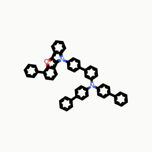 c1ccc(-c2ccc(N(c3ccc(-c4ccccc4)cc3)c3cccc(-c4ccc(-n5c6ccccc6c6oc7c(-c8ccccc8)cccc7c65)cc4)c3)cc2)cc1